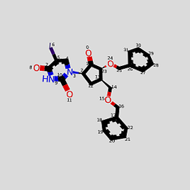 O=C1[C@H](n2cc(I)c(=O)[nH]c2=O)C[C@H](COCc2ccccc2)[C@H]1OCc1ccccc1